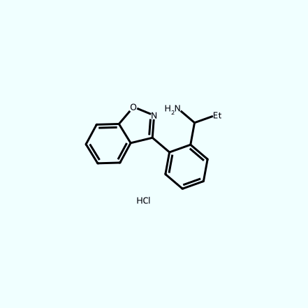 CCC(N)c1ccccc1-c1noc2ccccc12.Cl